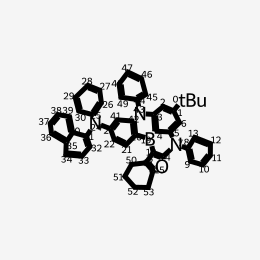 CC(C)(C)c1cc2c3c(c1)N(c1ccccc1)c1oc4c(c1B3c1ccc(N(c3ccccc3)c3cccc5ccccc35)cc1N2c1ccccc1)CCCC4